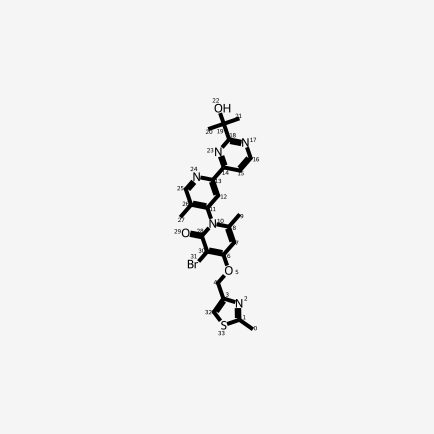 Cc1nc(COc2cc(C)n(-c3cc(-c4ccnc(C(C)(C)O)n4)ncc3C)c(=O)c2Br)cs1